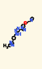 Cn1ncc(-c2ccc(CNc3cc(-c4cnc5cc(OCCCN6CCCC6)ccn45)ncn3)cc2)n1